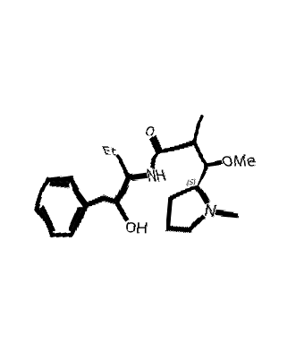 CCC(NC(=O)C(C)C(OC)[C@@H]1CCCN1C)C(O)c1ccccc1